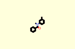 Cc1cccc(N(C)C(=O)c2ccccc2)c1